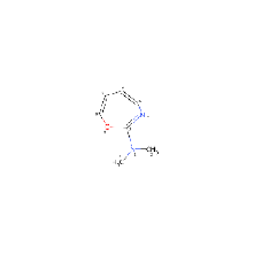 CN(C)C1=NC=CC=CO1